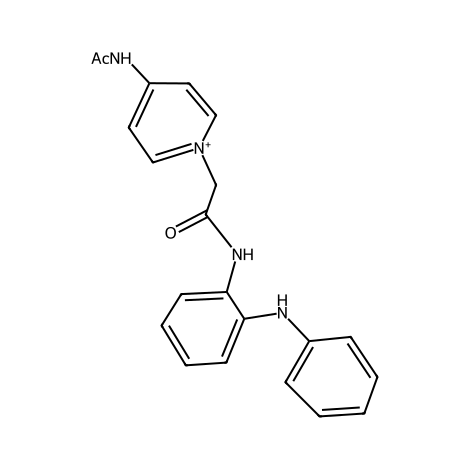 CC(=O)Nc1cc[n+](CC(=O)Nc2ccccc2Nc2ccccc2)cc1